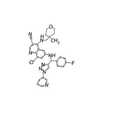 CC1(CNc2c(C#N)cnc3c(Cl)cc(NC(c4ccc(F)cc4)c4cn(-c5cccnc5)nn4)cc23)CCOCC1